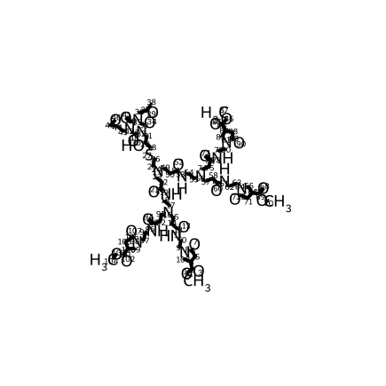 COC(=O)C1CC(=O)N(CCNC(=O)CCN(CCNC(=O)CCN(CCSCC(O)Cn2c(=O)n(CC3CO3)c(=O)n(CC3CO3)c2=O)CCC(=O)NCCN(CCC(=O)NCCN2CC(C(=O)OC)CC2=O)CCC(=O)NCCN2CC(C(=O)OC)CC2=O)CCC(=O)NCCN2CC(C(=O)OC)CC2=O)C1